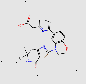 CC1(C)Cc2nc(N3CCOc4ccc(-c5cccc(CC(=O)O)n5)cc43)sc2C(=O)N1